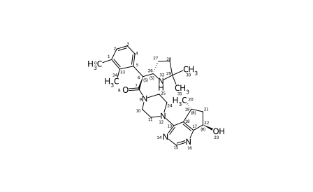 Cc1cccc([C@H](C(=O)N2CCN(c3ncnc4c3[C@H](C)C[C@H]4O)CC2)[C@@H]2CCC(C)(C)N2)c1C